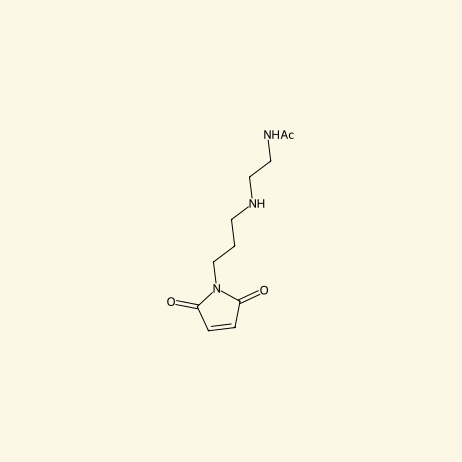 CC(=O)NCCNCCCN1C(=O)C=CC1=O